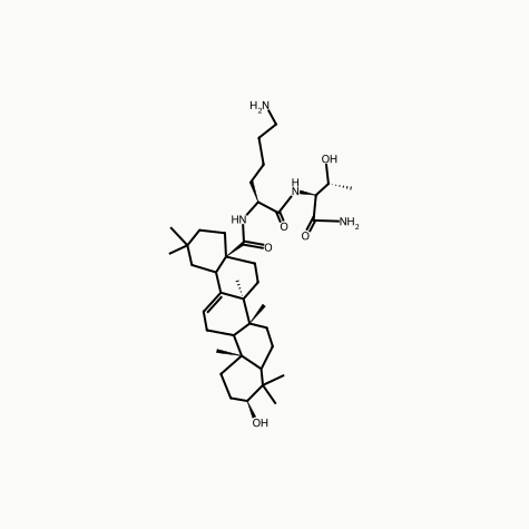 C[C@@H](O)[C@H](NC(=O)[C@H](CCCCN)NC(=O)[C@]12CCC(C)(C)CC1C1=CCC3[C@@]4(C)CC[C@H](O)C(C)(C)C4CC[C@@]3(C)[C@]1(C)CC2)C(N)=O